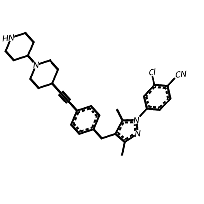 Cc1nn(-c2ccc(C#N)c(Cl)c2)c(C)c1Cc1ccc(C#CC2CCN(C3CCNCC3)CC2)cc1